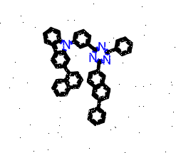 c1ccc(-c2ccc3cc(-c4nc(-c5ccccc5)nc(-c5cccc(-n6c7ccccc7c7ccc(-c8cccc9ccccc89)cc76)c5)n4)ccc3c2)cc1